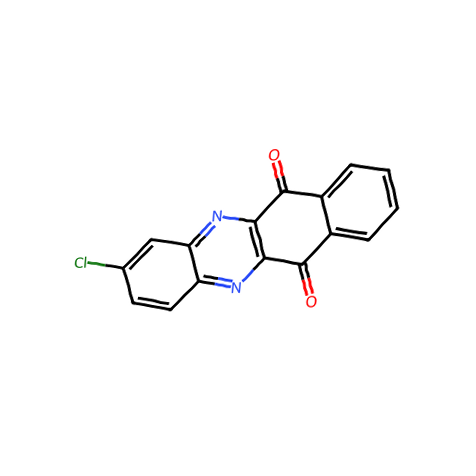 O=C1c2ccccc2C(=O)c2nc3cc(Cl)ccc3nc21